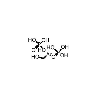 CC(=O)CO.O=P(O)(O)O.O=P(O)(O)O